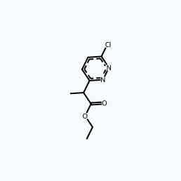 CCOC(=O)C(C)c1ccc(Cl)nn1